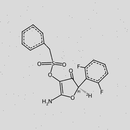 [2H][C@]1(c2c(F)cccc2F)OC(N)=C(OS(=O)(=O)Cc2ccccc2)C1=O